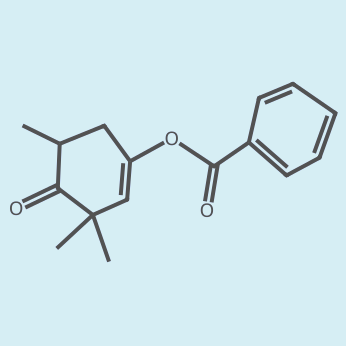 CC1CC(OC(=O)c2ccccc2)=CC(C)(C)C1=O